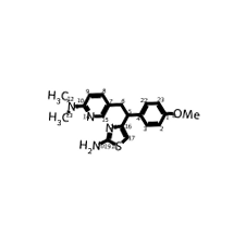 COc1ccc(C(Cc2ccc(N(C)C)nc2)c2csc(N)n2)cc1